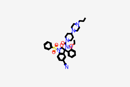 CCCN1CCN(C2CCN(C(=O)NC3(c4ccccc4OCC)C(=O)N(S(=O)(=O)c4ccccc4)c4ccc(C#N)cc43)CC2)CC1